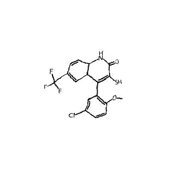 COc1ccc(Cl)cc1C1=C(S)C(=O)NC2C=CC(C(F)(F)F)=CC12